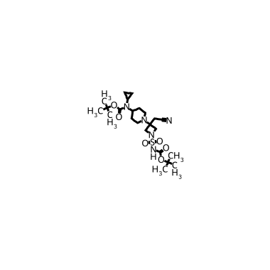 CC(C)(C)OC(=O)NS(=O)(=O)N1CC(CC#N)(N2CCC(N(C(=O)OC(C)(C)C)C3CC3)CC2)C1